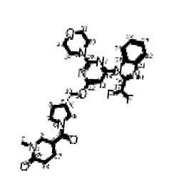 CN1CC(C(=O)N2CC[C@H](COc3cc(-n4c(C(F)F)nc5ccccc54)nc(N4CCOCC4)n3)C2)CCC1=O